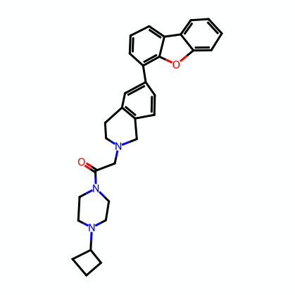 O=C(CN1CCc2cc(-c3cccc4c3oc3ccccc34)ccc2C1)N1CCN(C2CCC2)CC1